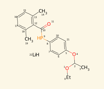 CCOC(C)Oc1ccc(PC(=O)c2c(C)cccc2C)cc1.[LiH]